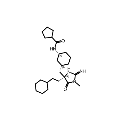 CN1C(=N)N[C@](CCC2CCCCC2)(C[C@H]2CCC[C@@H](NC(=O)C3CCCC3)C2)C1=O